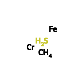 C.S.[Cr].[Fe]